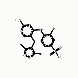 CCc1cc(S(=O)(=O)C(F)(F)F)ccc1Nc1nc(N)ncc1Cc1c(C)noc1C